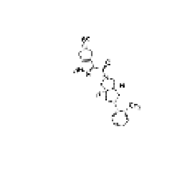 CC(=O)N1Cc2[nH]nc(C(=O)N3C[C@H]4CC(c5ccccc5C(F)(F)F)C[C@H]4C3)c2C1